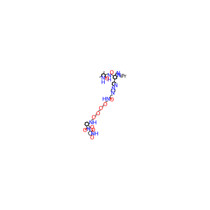 Cc1cc(C)c(CNC(=O)c2cc(-c3ccc(N4CCN(CCC(=O)NCCOCCOCCOCCOCCNc5cccc6c5C(=O)N(C5CCC(=O)NC5=O)C6=O)CC4)nc3)cc3c2cnn3C(C)C)c(=O)[nH]1